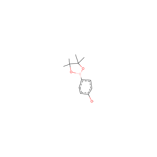 CC1(C)OB(c2ccc([O])cc2)OC1(C)C